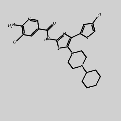 Nc1ncc(C(=O)Nc2nc(-c3cc(Cl)cs3)c(N3CCN(C4CCCCC4)CC3)s2)cc1Cl